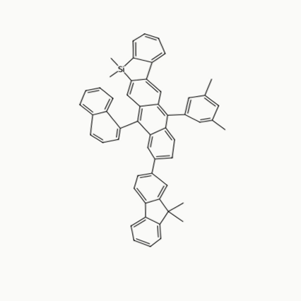 Cc1cc(C)cc(-c2c3ccc(-c4ccc5c(c4)C(C)(C)c4ccccc4-5)cc3c(-c3cccc4ccccc34)c3cc4c(cc23)-c2ccccc2[Si]4(C)C)c1